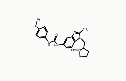 CCN1CCCC1Cn1c(C)nc2cc(NC(=O)Nc3ccc(OC(C)C)cc3)ccc21